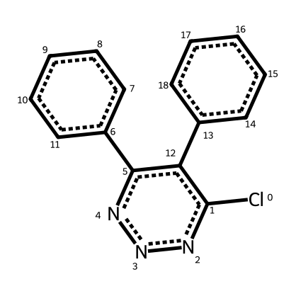 Clc1nnnc(-c2ccccc2)c1-c1ccccc1